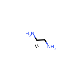 NCCN.[V]